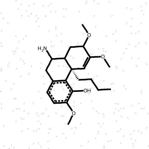 CCCC[C@@]12C=C(OC)C(OC)CC1C(N)Cc1ccc(OC)c(O)c12